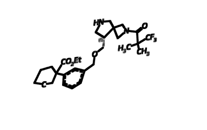 CCOC(=O)C1(c2cccc(COC[C@@H]3CNCC34CN(C(=O)C(C)(C)C(F)(F)F)C4)c2)CCCCC1